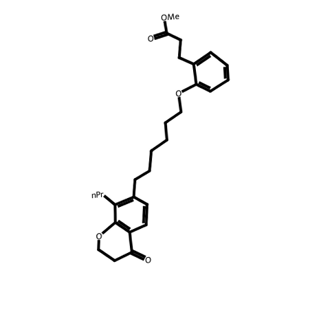 CCCc1c(CCCCCCOc2ccccc2CCC(=O)OC)ccc2c1OCCC2=O